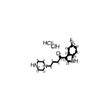 Cl.Cl.O=C(CCCN1CCNCC1)c1c[nH]c2ccc(F)cc12